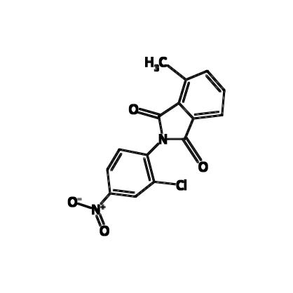 Cc1cccc2c1C(=O)N(c1ccc([N+](=O)[O-])cc1Cl)C2=O